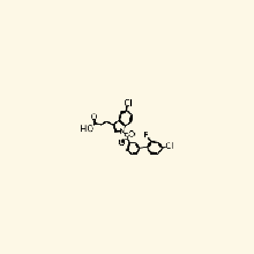 O=C(O)CCc1cn(S(=O)(=O)c2cccc(-c3ccc(Cl)cc3F)c2)c2ccc(Cl)cc12